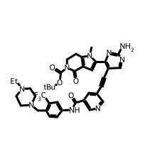 CCN1CCN(Cc2ccc(NC(=O)c3cncc(C#Cc4cnc(N)nc4-c4cc5c(n4C)CCN(C(=O)OC(C)(C)C)C5=O)c3)cc2C(F)(F)F)CC1